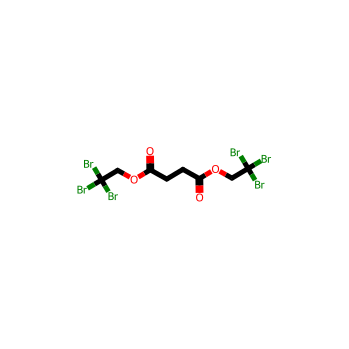 O=C(CCC(=O)OCC(Br)(Br)Br)OCC(Br)(Br)Br